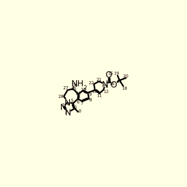 Cc1nnn2c1-c1ccc(C3=CCN(C(=O)OC(C)(C)C)CC3)cc1[C@H](N)CC2